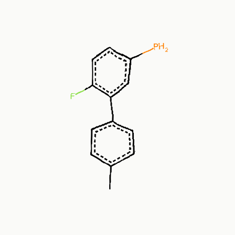 Cc1ccc(-c2cc(P)ccc2F)cc1